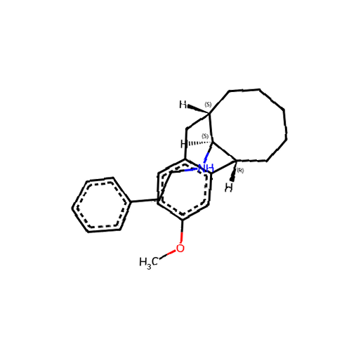 COc1ccc2c(c1)[C@H]1CCCCC[C@@H](C2)[C@@H]1NCCc1ccccc1